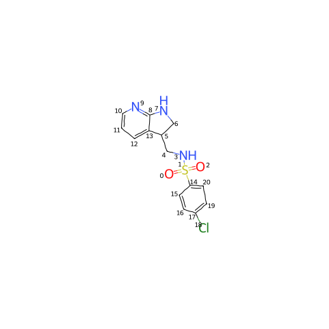 O=S(=O)(NCC1CNc2ncccc21)c1ccc(Cl)cc1